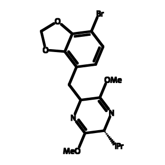 COC1=N[C@H](C(C)C)C(OC)=NC1Cc1ccc(Br)c2c1OCO2